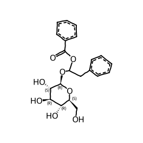 O=C(OC(Cc1ccccc1)O[C@H]1O[C@@H](CO)[C@H](O)[C@@H](O)[C@@H]1O)c1ccccc1